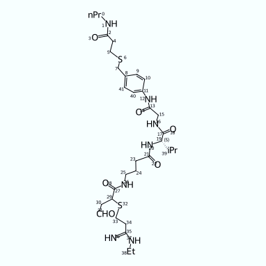 CCCNC(=O)CCSCc1ccc(NC(=O)CNC(=O)[C@@H](NC(=O)CCCNC(=O)C(CC=O)SCCC(=N)NCC)C(C)C)cc1